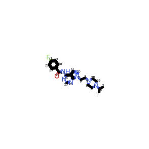 CC(C)N1CCN(CCn2ncc3c(NC(=O)c4ccc(F)cc4)ncnc32)CC1